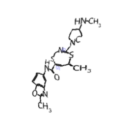 CNC1CCN(/C2=N/CS/C(C(=O)Nc3ccc4oc(C)nc4c3)=C\C(C)S2)CC1